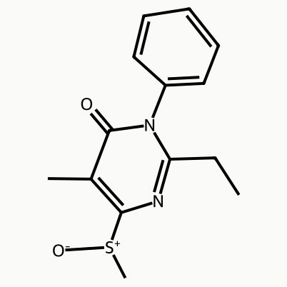 CCc1nc([S+](C)[O-])c(C)c(=O)n1-c1ccccc1